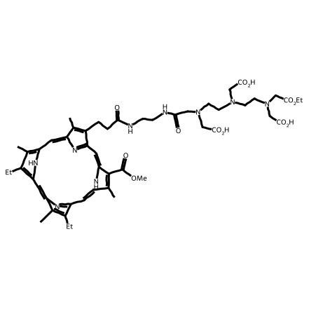 CCOC(=O)CN(CCN(CCN(CC(=O)O)CC(=O)NCCNC(=O)CCC1=C(C)c2cc3[nH]c(cc4nc(cc5[nH]c(cc1n2)c(C(=O)OC)c5C)C(CC)=C4C)c(CC)c3C)CC(=O)O)CC(=O)O